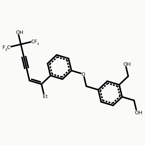 CC/C(=C/C#CC(O)(C(F)(F)F)C(F)(F)F)c1cccc(OCc2ccc(CO)c(CO)c2)c1